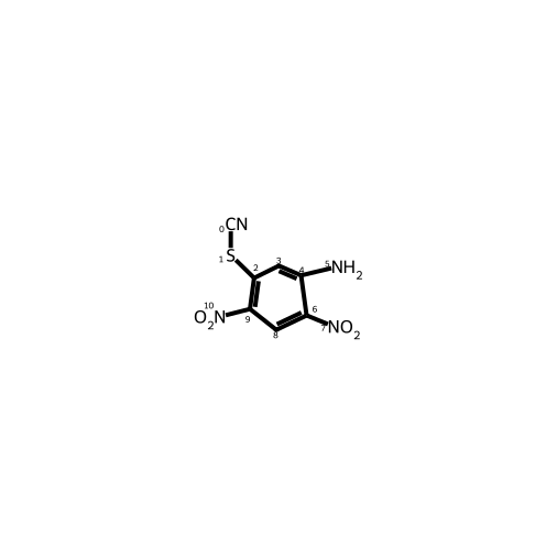 N#CSc1cc(N)c([N+](=O)[O-])cc1[N+](=O)[O-]